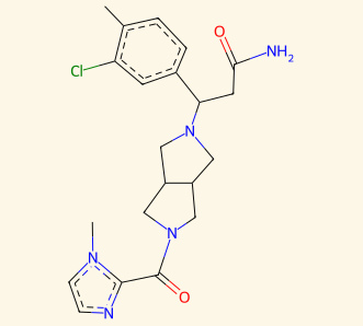 Cc1ccc(C(CC(N)=O)N2CC3CN(C(=O)c4nccn4C)CC3C2)cc1Cl